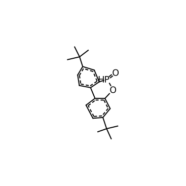 CC(C)(C)c1ccc2c(c1)O[PH](=O)c1cc(C(C)(C)C)ccc1-2